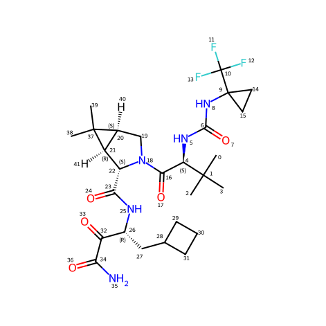 CC(C)(C)[C@H](NC(=O)NC1(C(F)(F)F)CC1)C(=O)N1C[C@H]2[C@@H]([C@H]1C(=O)N[C@H](CC1CCC1)C(=O)C(N)=O)C2(C)C